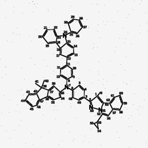 Cc1c(-c2ccc(N(c3ccc(-c4ccc5c(c4)c4ccccc4n5-c4ccccc4)cc3)c3ccc4c(c3)C(C)(C)c3ccccc3-4)cc2)nn2c(C3CC3)cc3ccccc3c12